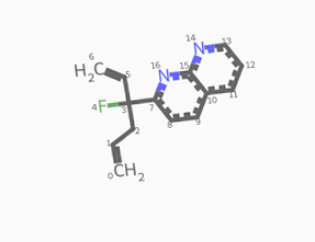 C=CCC(F)(C=C)c1ccc2cccnc2n1